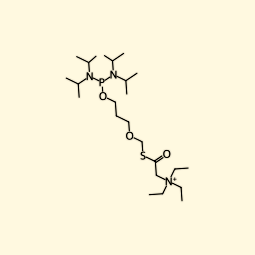 CC[N+](CC)(CC)CC(=O)SCOCCCOP(N(C(C)C)C(C)C)N(C(C)C)C(C)C